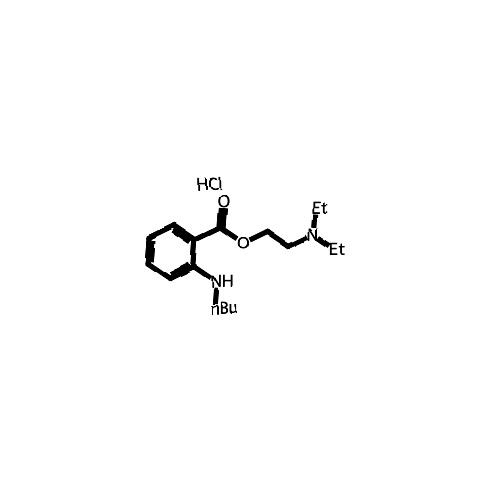 CCCCNc1ccccc1C(=O)OCCN(CC)CC.Cl